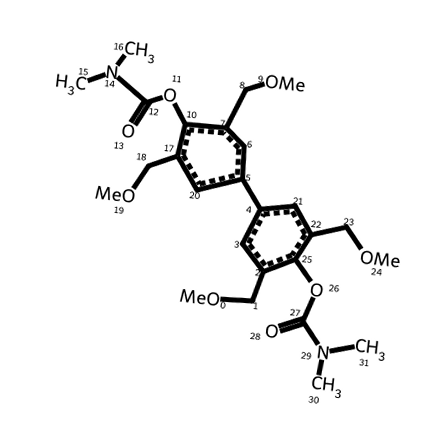 COCc1cc(-c2cc(COC)c(OC(=O)N(C)C)c(COC)c2)cc(COC)c1OC(=O)N(C)C